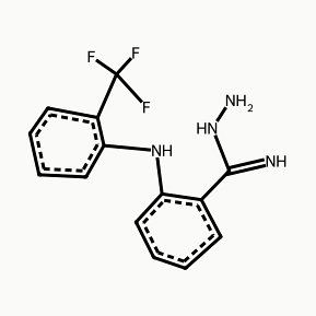 N=C(NN)c1ccccc1Nc1ccccc1C(F)(F)F